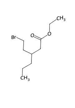 CCCC(CCBr)CC(=O)OCC